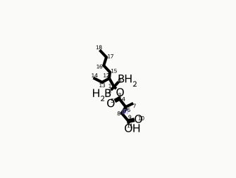 BC(B)(OC(=O)/C(C)=C/C(=O)O)C(CC)CCCC